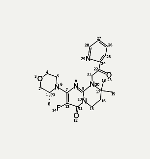 C[C@@H]1COCCN1c1nc2n(c(=O)c1F)CCC(C)(C)N2CC(=O)c1ccccn1